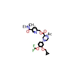 CCN(C)C(=O)c1ccc(COC(=O)C2CN(c3ccc(OC(F)F)c(OCC4CC4)c3)CCN2C(C)=O)nc1